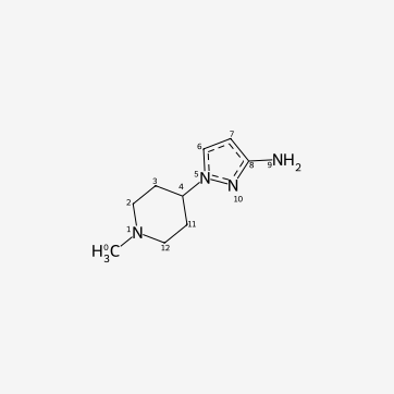 CN1CCC(n2ccc(N)n2)CC1